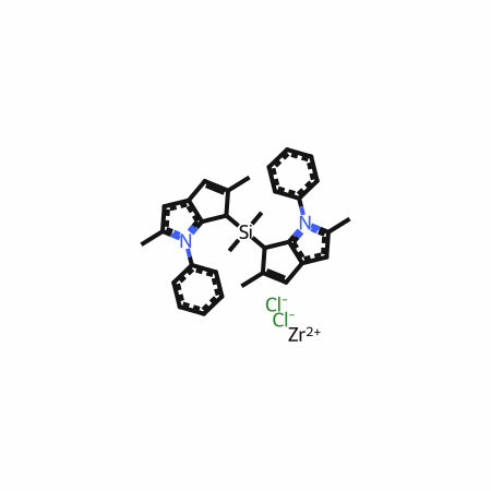 CC1=Cc2cc(C)n(-c3ccccc3)c2C1[Si](C)(C)C1C(C)=Cc2cc(C)n(-c3ccccc3)c21.[Cl-].[Cl-].[Zr+2]